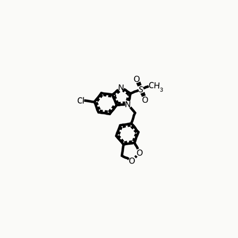 CS(=O)(=O)c1nc2cc(Cl)ccc2n1Cc1ccc2c(c1)OOC2